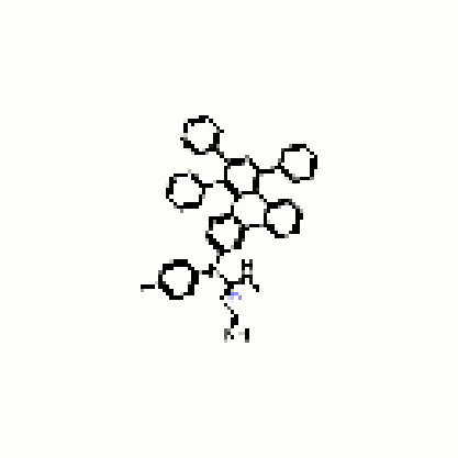 CN/C(=N\C=N)N(c1ccc(C)cc1)c1ccc2c(c1)c1ccccc1c1c(-c3ccccc3)cc(-c3ccccc3)c(-c3ccccc3)c21